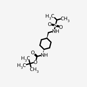 CC(C)S(=O)(=O)NC[C@H]1CC[C@H](NC(=O)OC(C)(C)C)CC1